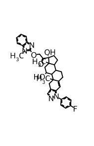 Cn1c(OCC(=O)[C@@]2(O)CCC3C4CCC5=Cc6c(cnn6-c6ccc(F)cc6)CC5(C)C4[C@@H](O)CC32C)nc2ccccc21